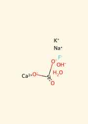 O.O=[Si]([O-])[O-].[Ca+2].[F-].[K+].[Na+].[OH-]